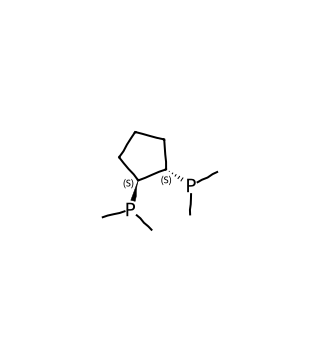 CP(C)[C@H]1CCC[C@@H]1P(C)C